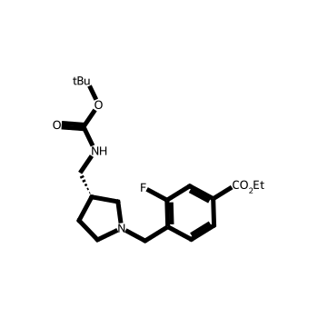 CCOC(=O)c1ccc(CN2CC[C@H](CNC(=O)OC(C)(C)C)C2)c(F)c1